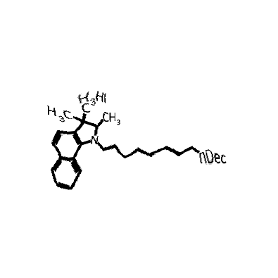 CCCCCCCCCCCCCCCCCCN1c2c(ccc3ccccc23)C(C)(C)C1C.I